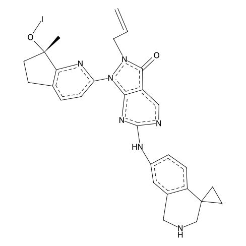 C=CCn1c(=O)c2cnc(Nc3ccc4c(c3)CNCC43CC3)nc2n1-c1ccc2c(n1)[C@@](C)(OI)CC2